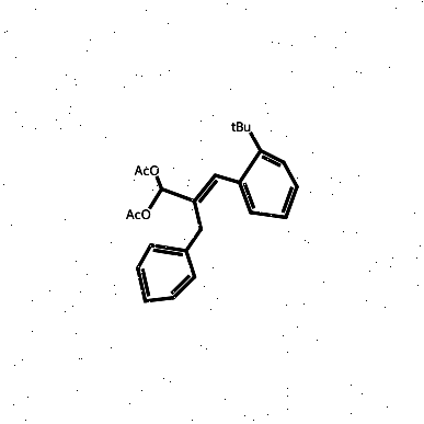 CC(=O)OC(OC(C)=O)/C(=C/c1ccccc1C(C)(C)C)Cc1ccccc1